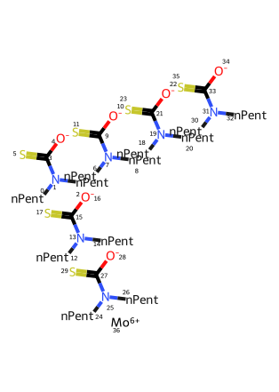 CCCCCN(CCCCC)C([O-])=S.CCCCCN(CCCCC)C([O-])=S.CCCCCN(CCCCC)C([O-])=S.CCCCCN(CCCCC)C([O-])=S.CCCCCN(CCCCC)C([O-])=S.CCCCCN(CCCCC)C([O-])=S.[Mo+6]